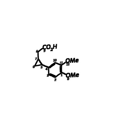 COc1ccc(C2CC2CC(=O)O)cc1OC